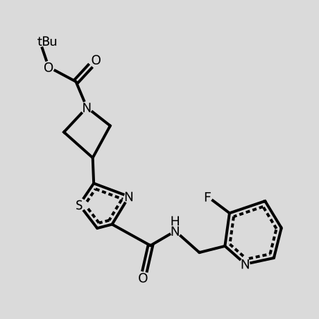 CC(C)(C)OC(=O)N1CC(c2nc(C(=O)NCc3ncccc3F)cs2)C1